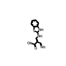 N=C/C(=C\NC1Nc2ccccc2S1)C(=O)N=O